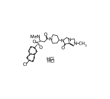 CNC(CC(=O)N1CCC(N2CN3CN(C)C=C3C2=O)CC1)S(=O)(=O)c1ccc2cc(Cl)ccc2c1.Cl.Cl